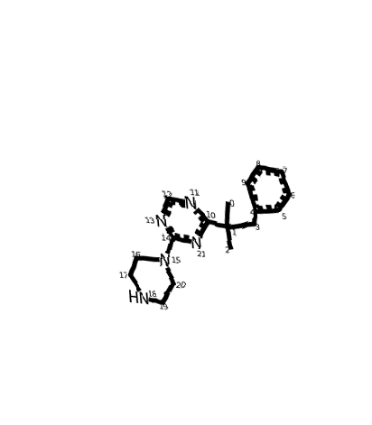 CC(C)(Cc1ccccc1)c1ncnc(N2CCNCC2)n1